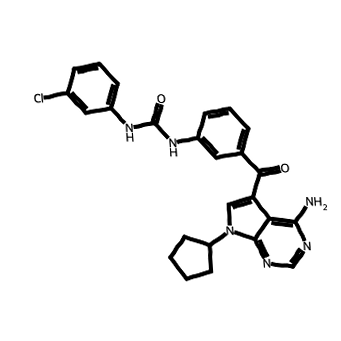 Nc1ncnc2c1c(C(=O)c1cccc(NC(=O)Nc3cccc(Cl)c3)c1)cn2C1CCCC1